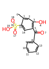 Cc1cc(O)c(C(=O)c2ccccc2)cc1S(=O)(=O)O